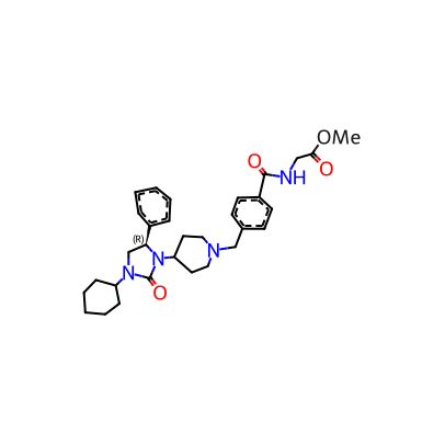 COC(=O)CNC(=O)c1ccc(CN2CCC(N3C(=O)N(C4CCCCC4)C[C@H]3c3ccccc3)CC2)cc1